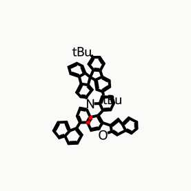 CC(C)(C)c1ccc2c(c1)C1(c3ccccc3-c3ccc(N(c4ccc(-c5cccc6ccccc56)cc4)c4ccccc4-c4cccc5oc6cc7ccccc7cc6c45)cc31)c1cc(C(C)(C)C)ccc1-2